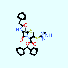 O=C(Cc1ccccc1)N[C@@H]1C(=O)N2C(C(=O)OC(c3ccccc3)c3ccccc3)=C(Sc3nc[nH]n3)CS[C@@H]12